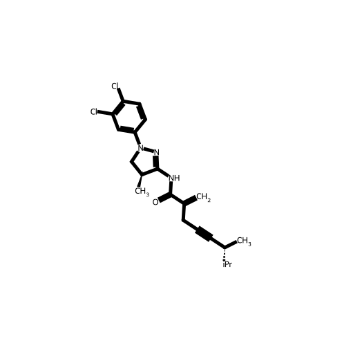 C=C(CC#C[C@H](C)C(C)C)C(=O)NC1=NN(c2ccc(Cl)c(Cl)c2)C[C@@H]1C